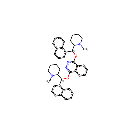 CN1CCCCC1[C@@H](Oc1nnc(O[C@@H](c2cccc3ccccc23)C2CCCCN2C)c2ccccc12)c1cccc2ccccc12